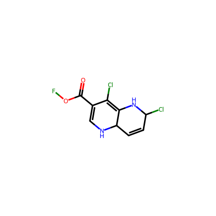 O=C(OF)C1=CNC2C=CC(Cl)NC2=C1Cl